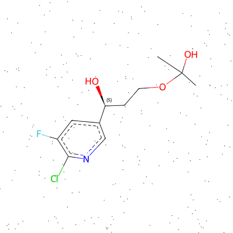 CC(C)(O)OCC[C@H](O)c1cnc(Cl)c(F)c1